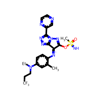 CCN(CCC(F)(F)F)c1ccc(/N=C2/C(OS(C)(=N)=O)=Nn3c2nnc3-c2cnccn2)c(C)c1